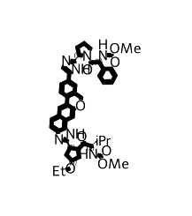 CCO[C@@H]1CC(C(=O)[C@@H](NC(=O)OC)C(C)C)[C@H](c2nc3ccc4cc5c(cc4c3[nH]2)OCc2cc(-c3cnc([C@@H]4CCCN4C(=O)[C@H](NC(=O)OC)c4ccccc4)[nH]3)ccc2-5)C1